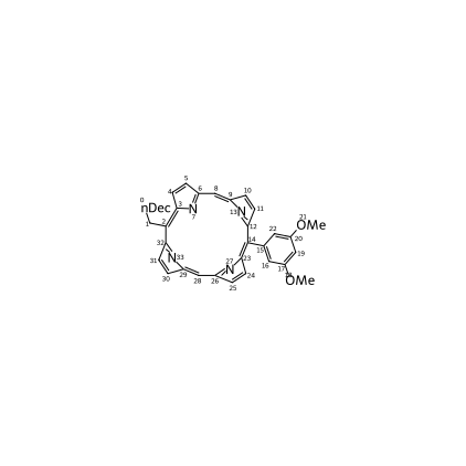 CCCCCCCCCCCC1=C2C=CC(=N2)C=C2C=CC(=N2)C(c2cc(OC)cc(OC)c2)=C2C=CC(=N2)C=C2C=CC1=N2